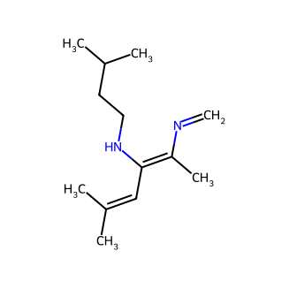 C=N/C(C)=C(/C=C(C)C)NCCC(C)C